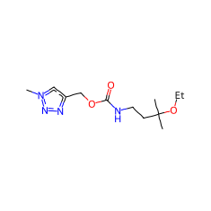 CCOC(C)(C)CCNC(=O)OCc1cn(C)nn1